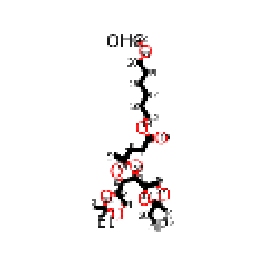 CCC1(C)OCC(C2OC(C)(CCC(=O)OCCCCCCOC=O)OC2C2COC(C)(CC(C)C)O2)O1